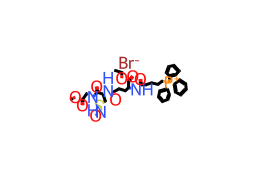 CCOC(=O)C(CCC(=O)NC(CSN=O)C(=O)NCC(=O)OC)NC(=O)CCCC[P+](c1ccccc1)(c1ccccc1)c1ccccc1.[Br-]